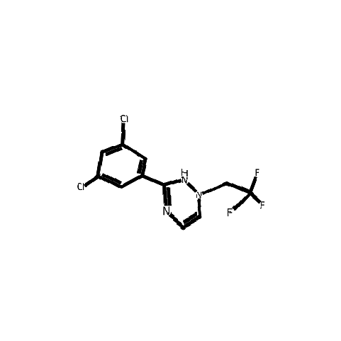 FC(F)(F)CN1C=CN=C(c2cc(Cl)cc(Cl)c2)N1